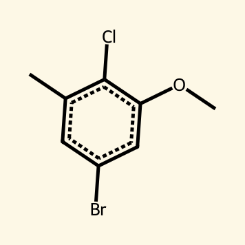 COc1cc(Br)cc(C)c1Cl